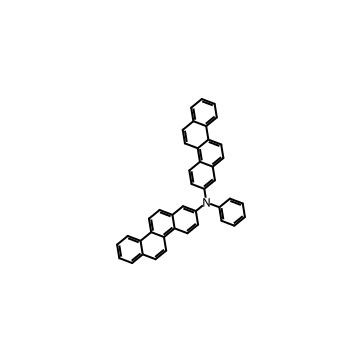 c1ccc(N(c2ccc3c(ccc4c5ccccc5ccc34)c2)c2ccc3c(ccc4c5ccccc5ccc34)c2)cc1